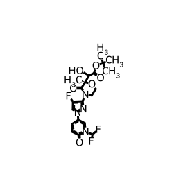 CC(C)(C)OC(=O)C(O)[C@@]1(C)OCCN(c2nn(-c3ccc(=O)n(C(F)F)c3)cc2F)C1=O